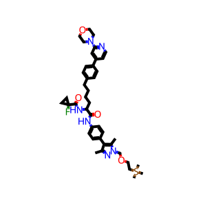 Cc1nn(COCCS(C)(C)C)c(C)c1-c1ccc(NC(=O)C(CCCCc2ccc(-c3ccnc(N4CCOCC4)c3)cc2)NC(=O)C2(F)CC2)cc1